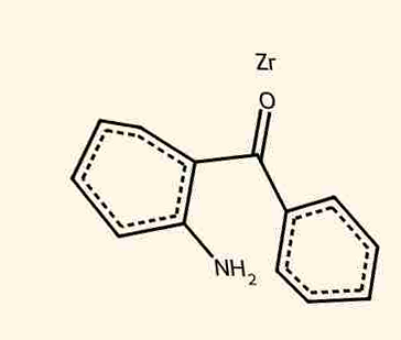 Nc1ccccc1C(=O)c1ccccc1.[Zr]